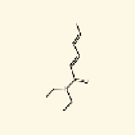 C/C=C/C=C/C(=O)N(CC)CC